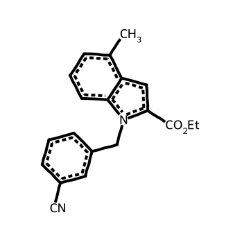 CCOC(=O)c1cc2c(C)cccc2n1Cc1cccc(C#N)c1